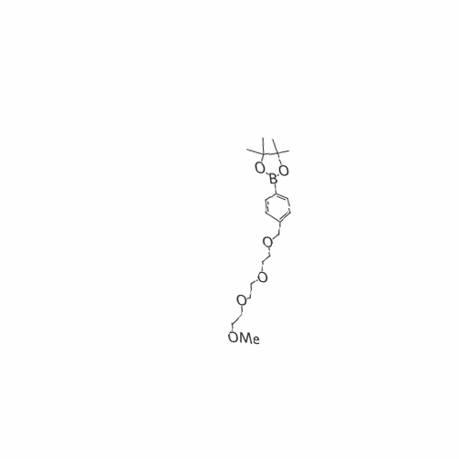 COCCOCCOCCOCc1ccc(B2OC(C)(C)C(C)(C)O2)cc1